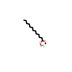 CCCCCCCCCCCCC(OC)O[SiH3]